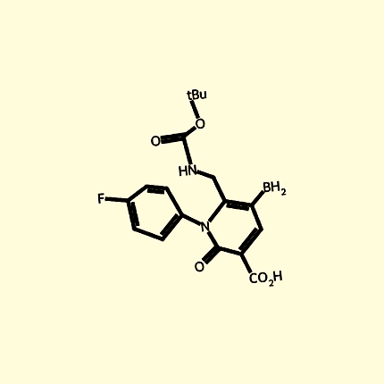 Bc1cc(C(=O)O)c(=O)n(-c2ccc(F)cc2)c1CNC(=O)OC(C)(C)C